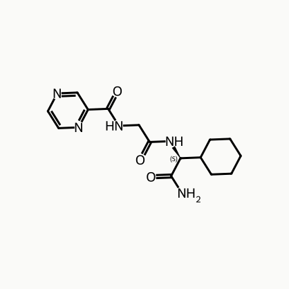 NC(=O)[C@@H](NC(=O)CNC(=O)c1cnccn1)C1CCCCC1